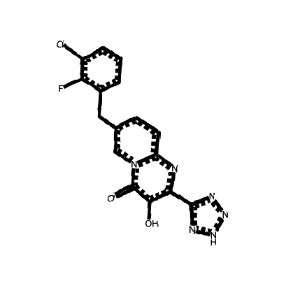 O=c1c(O)c(-c2nn[nH]n2)nc2ccc(Cc3cccc(Cl)c3F)cn12